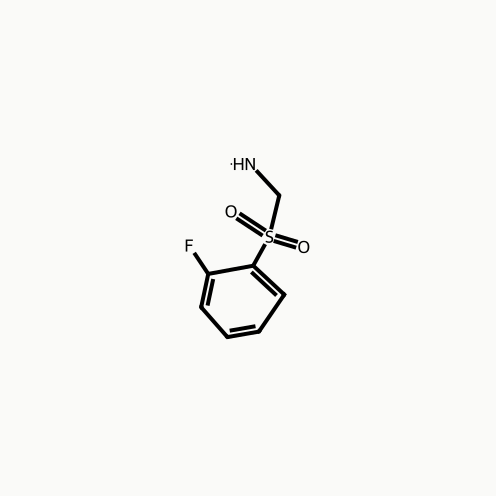 [NH]CS(=O)(=O)c1ccccc1F